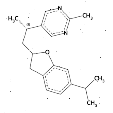 Cc1ncc([C@@H](C)CC2Cc3ccc(C(C)C)cc3O2)cn1